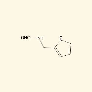 O=CNCc1ccc[nH]1